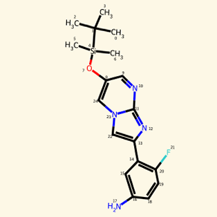 CC(C)(C)[Si](C)(C)Oc1cnc2nc(-c3cc(N)ccc3F)cn2c1